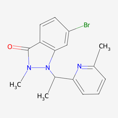 Cc1cccc(C(C)n2c3cc(Br)ccc3c(=O)n2C)n1